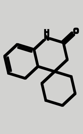 O=C1CC2(CCCCC2)C2CC=CC=C2N1